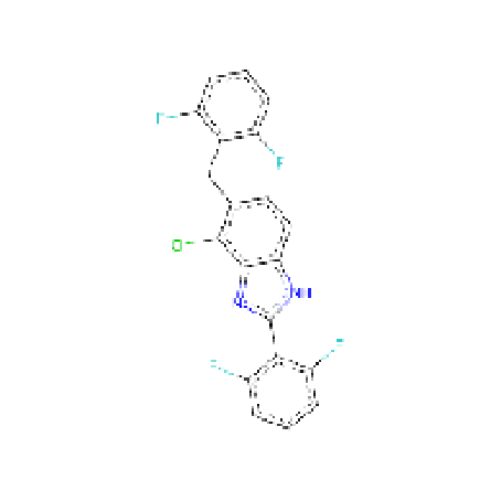 Fc1cccc(F)c1Cc1ccc2[nH]c(-c3c(F)cccc3F)nc2c1Cl